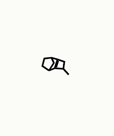 CC1CC2=C1C1CCC2C1